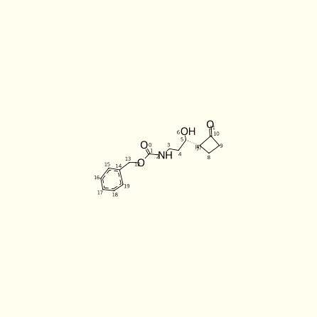 O=C(NCCC(O)[C@H]1CCC1=O)OCc1ccccc1